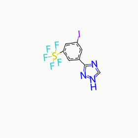 FS(F)(F)(F)(F)c1cc(I)cc(-c2nc[nH]n2)c1